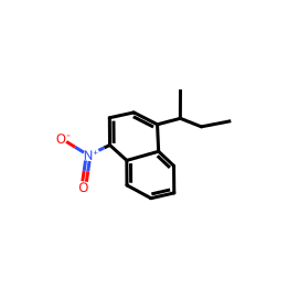 CCC(C)c1ccc([N+](=O)[O-])c2ccccc12